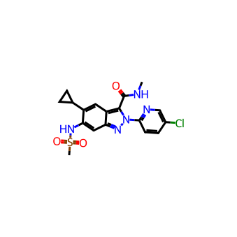 CNC(=O)c1c2cc(C3CC3)c(NS(C)(=O)=O)cc2nn1-c1ccc(Cl)cn1